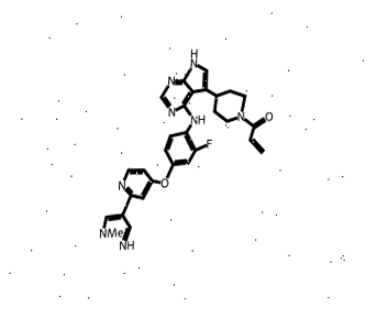 C=CC(=O)N1CCC(c2c[nH]c3ncnc(Nc4ccc(Oc5ccnc(/C(C=N)=C/NC)c5)cc4F)c23)CC1